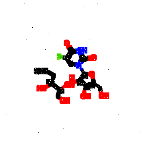 O=CC[C@H](O)[C@H](O)CO.O=c1[nH]c(=O)n([C@@H]2O[C@H](CO)[C@@H](O)[C@H]2O)cc1F